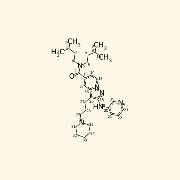 CC(C)CCN(CCC(C)C)C(=O)c1ccn2nc(Nc3cccnc3)c(CCCN3CCCCC3)c2c1